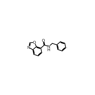 O=C(NCc1cc[c]cc1)c1cccc2ncoc12